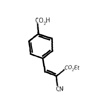 CCOC(=O)/C(C#N)=C\c1ccc(C(=O)O)cc1